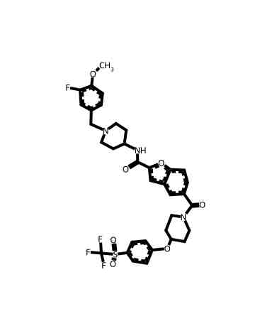 COc1ccc(CN2CCC(NC(=O)c3cc4cc(C(=O)N5CCC(Oc6ccc(S(=O)(=O)C(F)(F)F)cc6)CC5)ccc4o3)CC2)cc1F